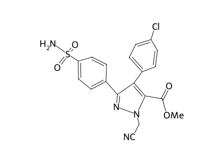 COC(=O)c1c(-c2ccc(Cl)cc2)c(-c2ccc(S(N)(=O)=O)cc2)nn1CC#N